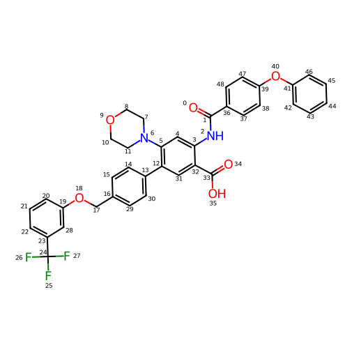 O=C(Nc1cc(N2CCOCC2)c(-c2ccc(COc3cccc(C(F)(F)F)c3)cc2)cc1C(=O)O)c1ccc(Oc2ccccc2)cc1